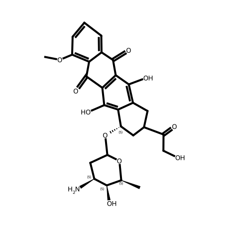 COc1cccc2c1C(=O)c1c(O)c3c(c(O)c1C2=O)CC(C(=O)CO)C[C@@H]3OC1C[C@H](N)[C@H](O)[C@H](C)O1